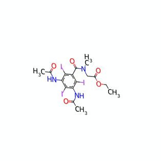 CCOC(=O)CN(C)C(=O)c1c(I)c(NC(C)=O)c(I)c(NC(C)=O)c1I